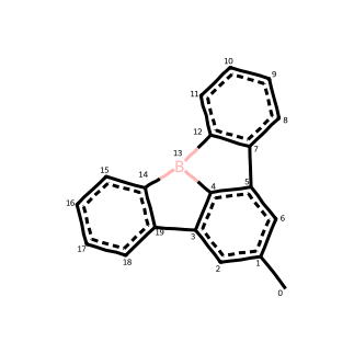 Cc1cc2c3c(c1)-c1ccccc1B3c1ccccc1-2